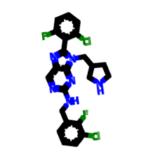 Fc1cccc(Cl)c1-c1nc2cnc(NCc3cccc(Cl)c3F)nc2n1CC1CCNC1